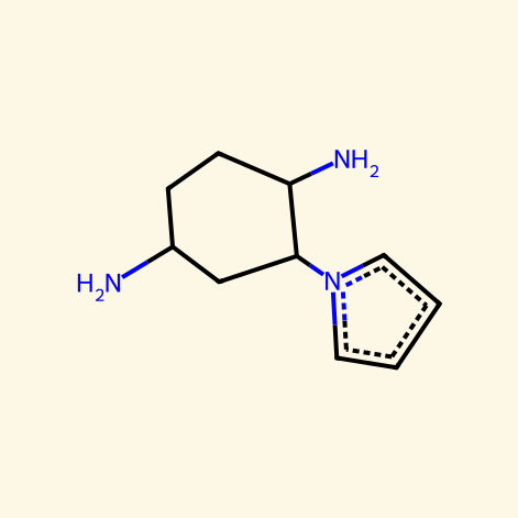 NC1CCC(N)C(n2cccc2)C1